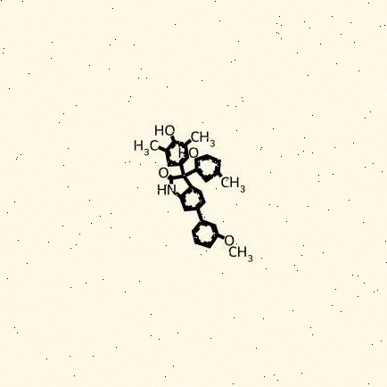 COc1cccc(-c2ccc3c(c2)NC(=O)C3(c2cc(C)c(O)c(C)c2)c2cc(C)ccc2O)c1